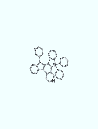 c1ccc([Si]2(c3ccccc3)c3ccccc3-c3c2c2cnccc2c2c4ccccc4n(-c4cccnc4)c32)cc1